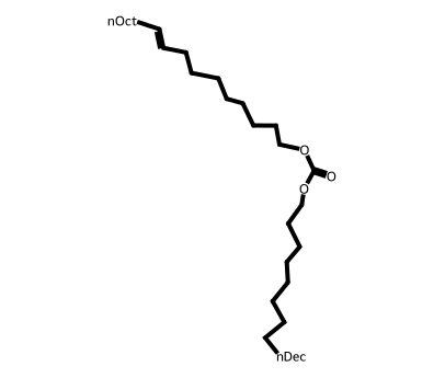 CCCCCCCCC=CCCCCCCCCOC(=O)OCCCCCCCCCCCCCCCCCC